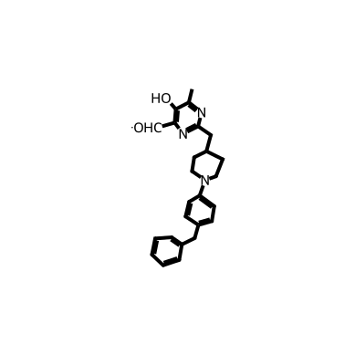 Cc1nc(CC2CCN(c3ccc(Cc4ccccc4)cc3)CC2)nc([C]=O)c1O